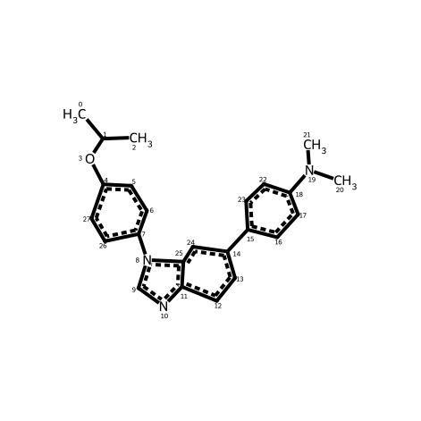 CC(C)Oc1ccc(-n2cnc3ccc(-c4ccc(N(C)C)cc4)cc32)cc1